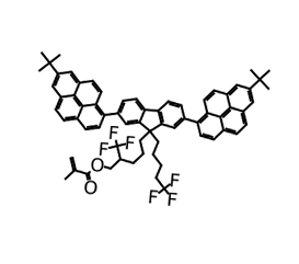 C=C(C)C(=O)OCC(CCCC1(CCCCC(F)(F)F)c2cc(-c3ccc4ccc5cc(C(C)(C)C)cc6ccc3c4c56)ccc2-c2ccc(-c3ccc4ccc5cc(C(C)(C)C)cc6ccc3c4c56)cc21)C(F)(F)F